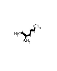 CC=CCC(C)=CC